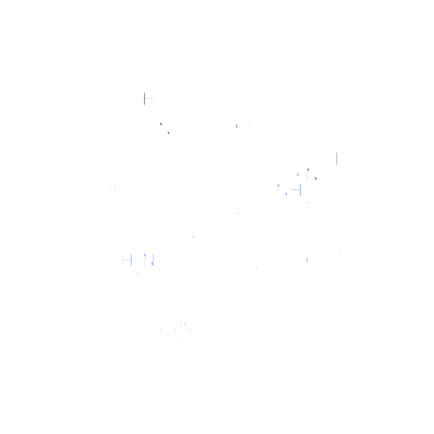 NC(CC(=O)[O-])(CC(=O)[O-])C(N)(CC(=O)[O-])CC(=O)[O-].[H+].[H+].[Na+].[Na+]